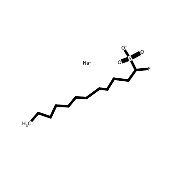 CCCCCCCCCCCC(F)S(=O)(=O)[O-].[Na+]